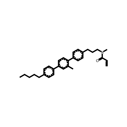 C=CC(=O)N(C)CCCc1ccc(-c2ccc(-c3ccc(CCCCC)cc3)cc2C)cc1